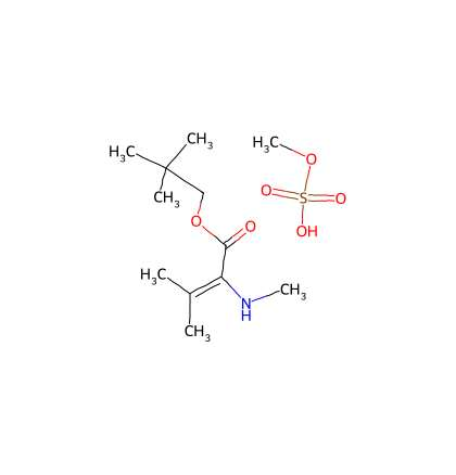 CNC(C(=O)OCC(C)(C)C)=C(C)C.COS(=O)(=O)O